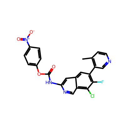 Cc1ccncc1-c1cc2cc(NC(=O)Oc3ccc([N+](=O)[O-])cc3)ncc2c(Cl)c1F